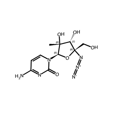 C[C@]1(O)[C@H](n2ccc(N)nc2=O)O[C@@](CO)(N=[N+]=[N-])[C@H]1O